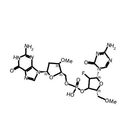 COC[C@H]1O[C@@H](n2cnc(N)nc2=O)C(F)C1OP(=O)(O)OC[C@H]1O[C@@H](n2cnc3c(=O)[nH]c(N)nc32)C[C@H]1OC